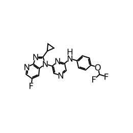 Fc1cnc2nc(C3CC3)n(-c3cncc(Nc4ccc(OC(F)F)cc4)n3)c2c1